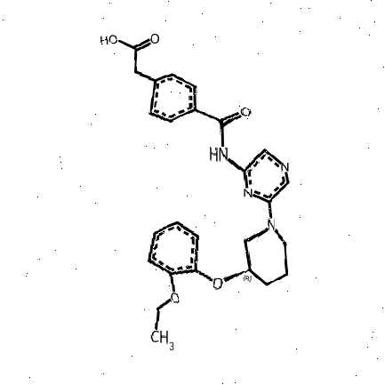 CCOc1ccccc1O[C@@H]1CCCN(c2cncc(NC(=O)c3ccc(CC(=O)O)cc3)n2)C1